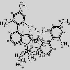 CC1=Cc2c(-c3c(C)cc(C)cc3C)cccc2[CH]1[Zr]([CH3])([CH3])(=[SiH2])[CH]1C(C)=Cc2c(-c3c(C)cc(C)cc3C)cccc21.Cl.Cl